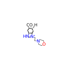 O=C(O)c1ccc2c(c1)[nH]c[n+]2CCN1CCOCC1